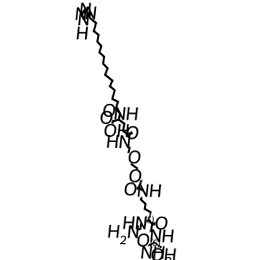 NCN[C@@H](CCCCNC(=O)COCCOCCNC(=O)CCC(NC(=O)CCCCCCCCCCCCCCCc1nnn[nH]1)C(=O)O)C(=O)CN[C@@H](CO)C(N)=O